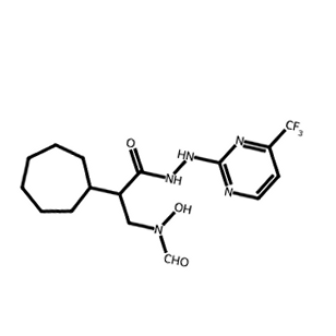 O=CN(O)CC(C(=O)NNc1nccc(C(F)(F)F)n1)C1CCCCCC1